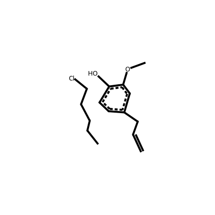 C=CCc1ccc(O)c(OC)c1.CCCCCCl